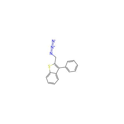 [N-]=[N+]=NCc1sc2ccccc2c1-c1ccccc1